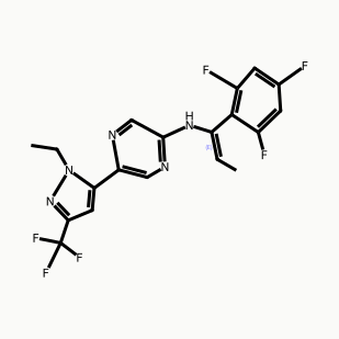 C/C=C(/Nc1cnc(-c2cc(C(F)(F)F)nn2CC)cn1)c1c(F)cc(F)cc1F